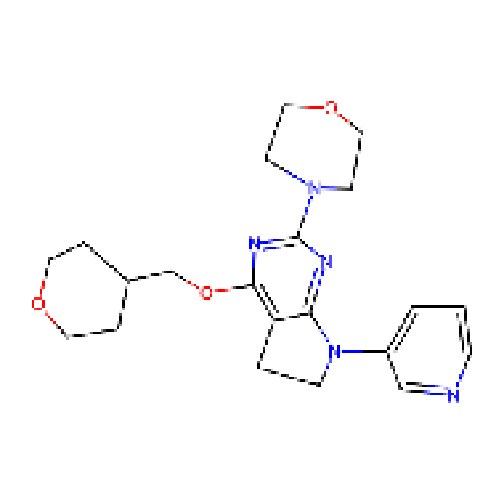 c1cncc(N2CCc3c(OCC4CCOCC4)nc(N4CCOCC4)nc32)c1